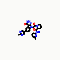 Cc1cccc(NC(=O)C2CC=CCN2C(=O)Cn2cc(C(N)=O)c3cc(-c4cnc(C)nc4)ccc32)n1